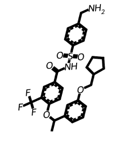 CC(Oc1ccc(C(=O)NS(=O)(=O)c2ccc(CN)cc2)cc1C(F)(F)F)c1cccc(OCC2CCCC2)c1